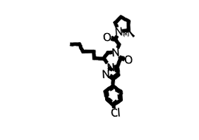 CCCCCC1CN(CC(=O)N2CCC[C@H]2C)C(=O)c2cc(-c3ccc(Cl)cc3)nn21